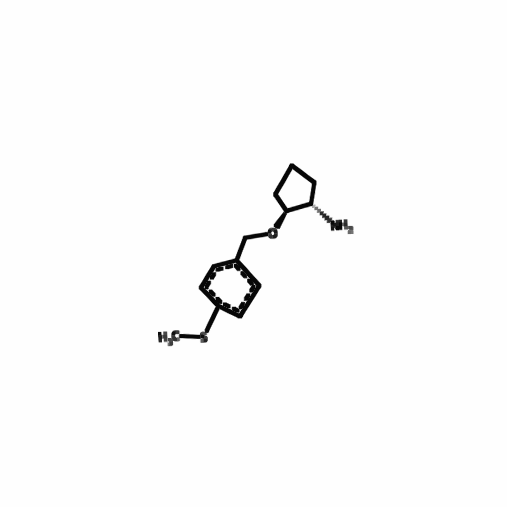 CSc1ccc(CO[C@H]2CCC[C@@H]2N)cc1